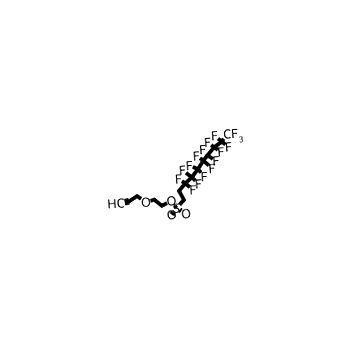 C#CCOCCOS(=O)(=O)CCC(F)(F)C(F)(F)C(F)(F)C(F)(F)C(F)(F)C(F)(F)C(F)(F)C(F)(F)F